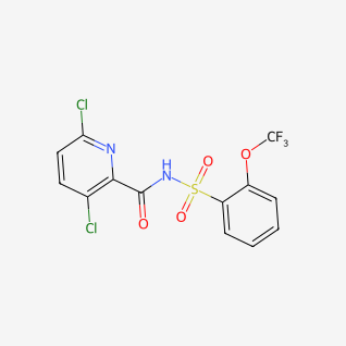 O=C(NS(=O)(=O)c1ccccc1OC(F)(F)F)c1nc(Cl)ccc1Cl